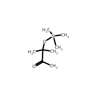 CC(=O)C(C)(C)O[Si](C)(C)C